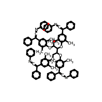 Cc1cc(C(=C=Nc2ccccc2)c2ccccc2)cc(C)c1OCC(Oc1c(C)cc(C(=C=Nc2ccccc2)c2ccccc2)cc1C)C(Oc1c(C)cc(C(=C=Nc2ccccc2)c2ccccc2)cc1C)C(C)Oc1c(C)cc(C(=C=Nc2ccccc2)c2ccccc2)cc1C